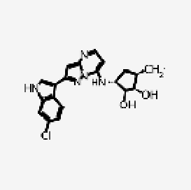 [CH2][C@@H]1C[C@@H](Nc2ccnc3cc(-c4c[nH]c5cc(Cl)ccc45)nn23)[C@H](O)[C@@H]1O